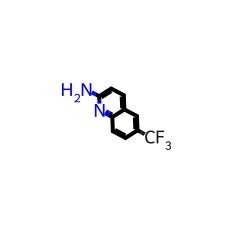 Nc1ccc2cc(C(F)(F)F)ccc2n1